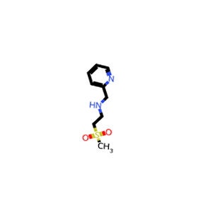 CS(=O)(=O)CCNCc1ccccn1